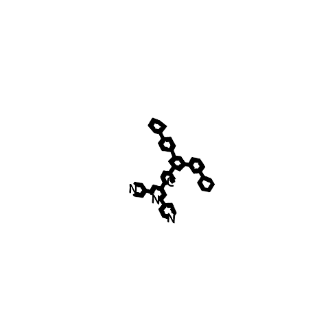 C1=CC(c2cccc(-c3cc(-c4ccc(-c5ccccc5)cc4)cc(-c4ccc(-c5cc(-c6ccncc6)nc(-c6ccncc6)c5)cc4)c3)c2)=CCC1